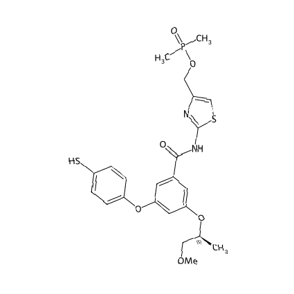 COC[C@H](C)Oc1cc(Oc2ccc(S)cc2)cc(C(=O)Nc2nc(COP(C)(C)=O)cs2)c1